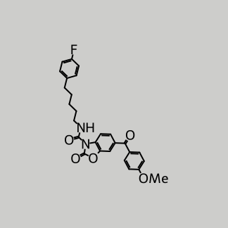 COc1ccc(C(=O)c2ccc3c(c2)oc(=O)n3C(=O)NCCCCCc2ccc(F)cc2)cc1